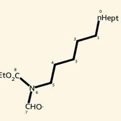 CCCCCCCCCCCCN([C]=O)C(=O)OCC